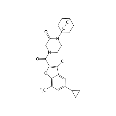 O=C(c1oc2c(C(F)(F)F)cc(C3CC3)cc2c1Cl)N1CCN(C23CCC(CC2)CC3)C(=O)C1